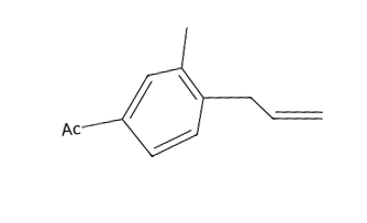 C=CCc1ccc(C(C)=O)cc1C